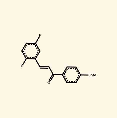 CSc1ccc(C(=O)C=Cc2cc(F)ccc2F)cc1